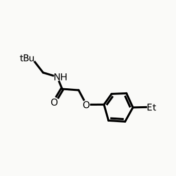 CCc1ccc(OCC(=O)NCC(C)(C)C)cc1